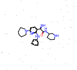 N=C(C(=O)NC1CCCNC1)c1ccc(N2CCCCCC2)nc1Nc1ccccc1